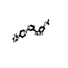 CC(C)Oc1ccc2[nH]nc(-c3ccnc(N4CCC(n5cncn5)CC4)c3)c2c1